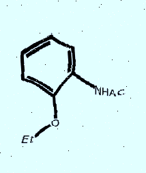 CCOc1cc[c]cc1NC(C)=O